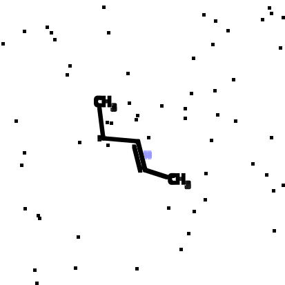 C[C]/C=C/C